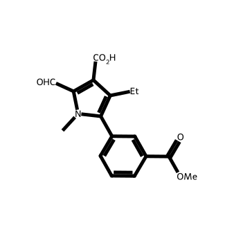 CCc1c(C(=O)O)c(C=O)n(C)c1-c1cccc(C(=O)OC)c1